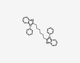 c1ccc(-n2c(CCCCCCc3nc4ccccc4n3-c3ccccc3)nc3ccccc32)cc1